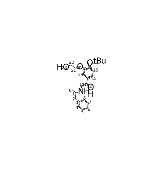 CC(Cc1ccccc1)NCC(O)c1ccc(OC(C)(C)C)c(OCCO)c1